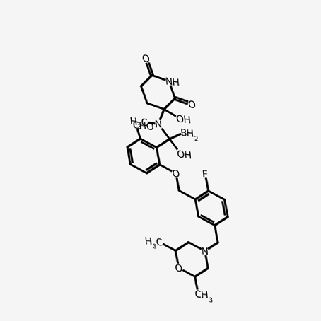 BC(O)(c1c(C=O)cccc1OCc1cc(CN2CC(C)OC(C)C2)ccc1F)N(C)C1(O)CCC(=O)NC1=O